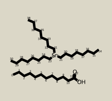 CCCCCCCCCCCC(=O)O.CCCCCCC[CH2][Sn]([CH2]CCCCCCC)[CH2]CCCCCCC